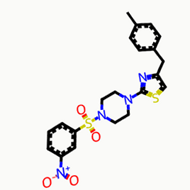 Cc1ccc(Cc2csc(N3CCN(S(=O)(=O)c4cccc([N+](=O)[O-])c4)CC3)n2)cc1